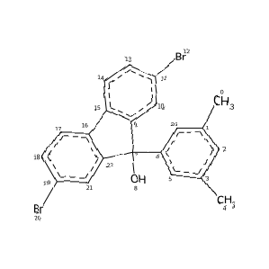 Cc1cc(C)cc(C2(O)c3cc(Br)ccc3-c3ccc(Br)cc32)c1